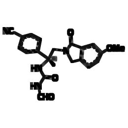 COc1ccc2c(c1)C(=O)N(C[C@](C)(NC(=O)NC=O)c1ccc(C#N)cc1)C2